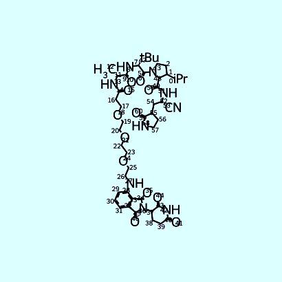 CC(C)C1CCN(C(=O)[C@@H](NC(=O)[C@H](C)NC(=O)CCOCCOCCOCCNc2cccc3c2C(=O)N(C2CCC(=O)NC2=O)C3=O)C(C)(C)C)C1C(=O)N[C@H](C#N)CC1CCNC1=O